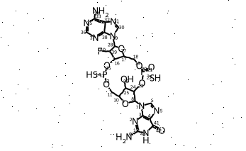 Nc1nc2c(ncn2C2OC3CO[P@](S)OC4C(CO[P@](=O)(S)OC2C3O)OC(n2cnc3c(N)ncnc32)C4F)c(=O)[nH]1